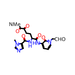 CNC(=O)C(=O)CCC(NC(=O)c1cncn1C)C(=O)Nc1cccn(CC=O)c1=O